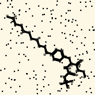 CCOC(=O)[C@H](Cc1ccc(OCCOCCOCCOC)cc1)NC(=O)OC(C)(C)C